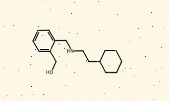 OCc1ccccc1CNCCC1CCCCC1